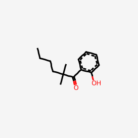 CCCCC(C)(C)C(=O)c1ccccc1O